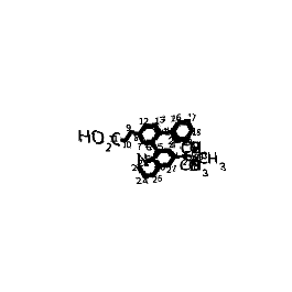 CC(C)(c1cc(-c2cc(C=CC(=O)O)ccc2-c2ccccc2)c2ncccc2c1)S(C)(=O)=O